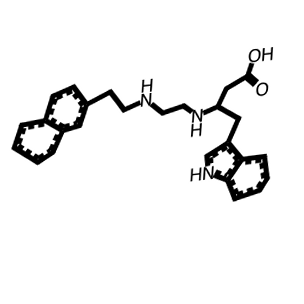 O=C(O)CC(Cc1c[nH]c2ccccc12)NCCNCCc1ccc2ccccc2c1